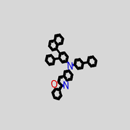 c1ccc(-c2ccc(N(c3ccc(-c4cccc5ccccc45)c(-c4ccccc4)c3)c3ccc4nc5c(cc4c3)oc3ccccc35)cc2)cc1